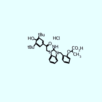 CC(Oc1ccccc1Cn1c(=N)n(CC(=O)c2cc(C(C)(C)C)c(O)c(C(C)(C)C)c2)c2ccccc21)C(=O)O.Cl